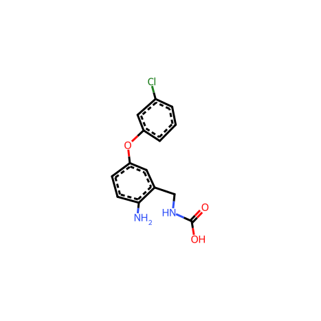 Nc1ccc(Oc2cccc(Cl)c2)cc1CNC(=O)O